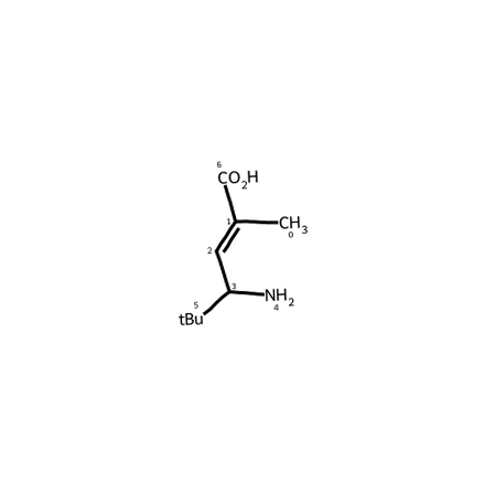 C/C(=C\C(N)C(C)(C)C)C(=O)O